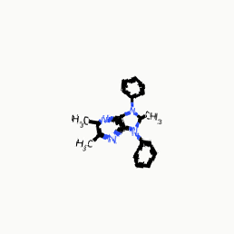 Cc1nc2c(nc1C)N(c1ccccc1)C(C)N2c1ccccc1